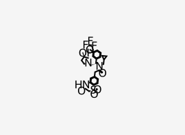 O=C1CS(=O)(=O)c2ccc(CC(=O)N(CC3CC3)[C@H](CN3CC[C@@H](O)C3)c3cccc(OC(F)(F)F)c3)cc2N1